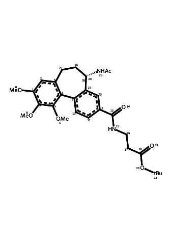 COc1cc2c(c(OC)c1OC)-c1ccc(C(=O)NCCC(=O)OC(C)(C)C)cc1[C@@H](NC(C)=O)CC2